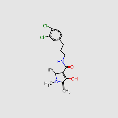 C=C1C(O)=C(C(=O)NCCCc2ccc(Cl)c(Cl)c2)C(C(C)C)N1C